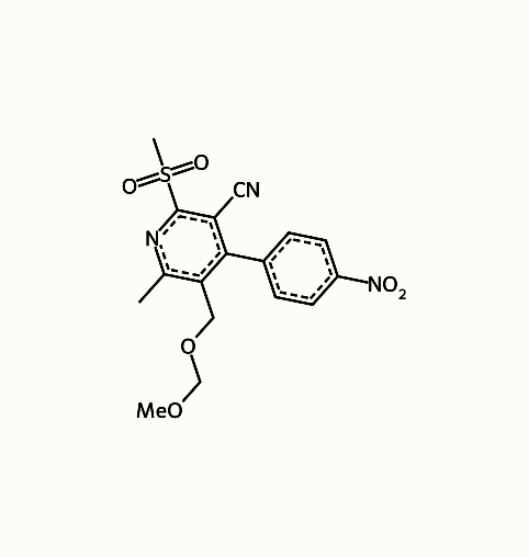 COCOCc1c(C)nc(S(C)(=O)=O)c(C#N)c1-c1ccc([N+](=O)[O-])cc1